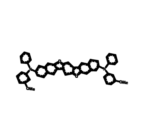 COc1cccc(N(c2ccccc2)c2ccc3cc4c(cc3c2)oc2cc3c(cc24)oc2cc4cc(N(c5ccccc5)c5cccc(OC)c5)ccc4cc23)c1